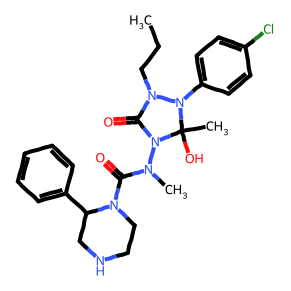 CCCN1C(=O)N(N(C)C(=O)N2CCNCC2c2ccccc2)C(C)(O)N1c1ccc(Cl)cc1